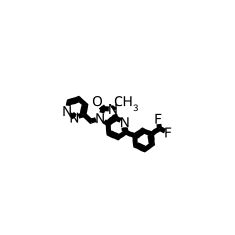 Cn1c(=O)n(Cc2cccnn2)c2ccc(-c3cccc(C(F)F)c3)nc21